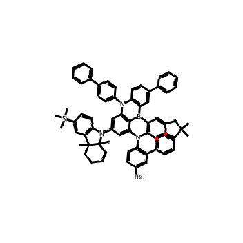 CC1(C)Cc2cc3c(cc2C1)N(c1ccc(C(C)(C)C)cc1-c1ccccc1)c1cc(N2c4ccc([Si](C)(C)C)cc4C4(C)CCCCC24C)cc2c1B3c1cc(-c3ccccc3)ccc1N2c1ccc(-c2ccccc2)cc1